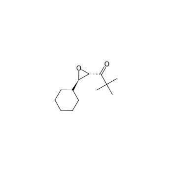 CC(C)(C)C(=O)[C@H]1O[C@@H]1C1CCCCC1